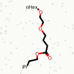 CCCCCCOCCOCCCC(=O)OCCC(C)C